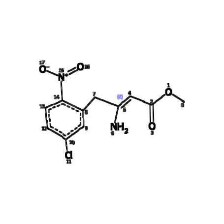 COC(=O)/C=C(\N)Cc1cc(Cl)ccc1[N+](=O)[O-]